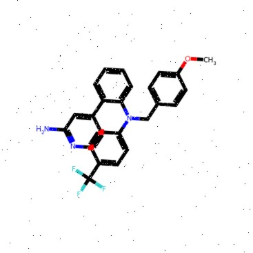 COc1ccc(CN(c2ccc(C(F)(F)F)cc2)c2ccccc2-c2ccnc(N)c2)cc1